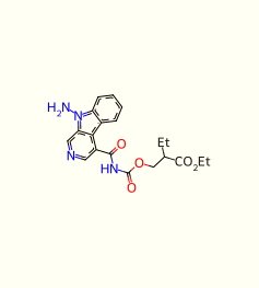 CCOC(=O)C(CC)COC(=O)NC(=O)c1cncc2c1c1ccccc1n2N